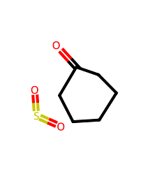 O=C1CCCCC1.O=S=O